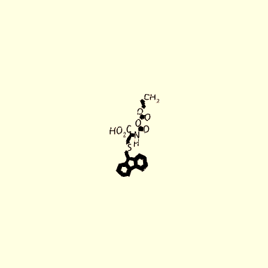 C=CCOC(=O)OC(=O)N[C@H](CSCC1c2ccccc2-c2ccccc21)C(=O)O